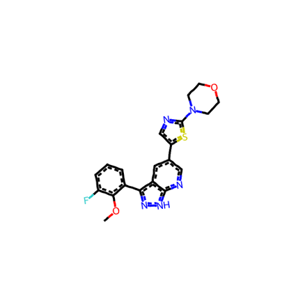 COc1c(F)cccc1-c1n[nH]c2ncc(-c3cnc(N4CCOCC4)s3)cc12